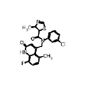 Cc1ccc(F)c2[nH]c(=O)cc(CN(C(=O)C3SC=NC3C)c3cccc(Cl)c3)c12